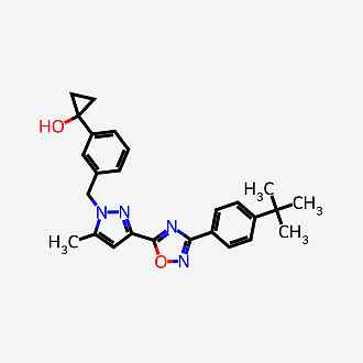 Cc1cc(-c2nc(-c3ccc(C(C)(C)C)cc3)no2)nn1Cc1cccc(C2(O)CC2)c1